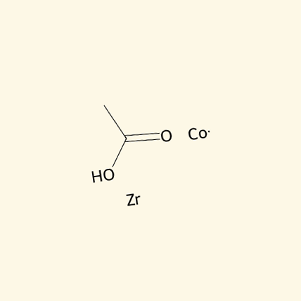 CC(=O)O.[Co].[Zr]